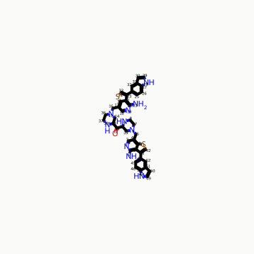 Nc1ncc(CN2CCNC(C(=O)C3CN(Cc4cnc(N)c5c(-c6ccc7[nH]ccc7c6)csc45)CCN3)C2)c2scc(-c3ccc4[nH]ccc4c3)c12